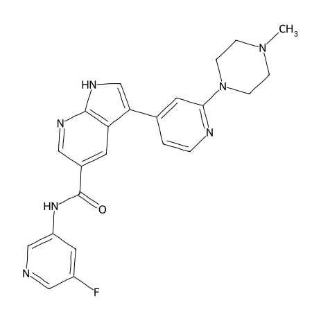 CN1CCN(c2cc(-c3c[nH]c4ncc(C(=O)Nc5cncc(F)c5)cc34)ccn2)CC1